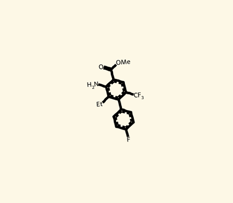 CCc1c(N)c(C(=O)OC)cc(C(F)(F)F)c1-c1ccc(F)cc1